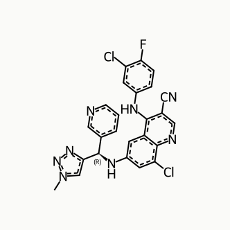 Cn1cc([C@H](Nc2cc(Cl)c3ncc(C#N)c(Nc4ccc(F)c(Cl)c4)c3c2)c2cccnc2)nn1